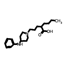 CCCCC(CCCN1CCC(Nc2ccccc2)CC1)C(=O)O